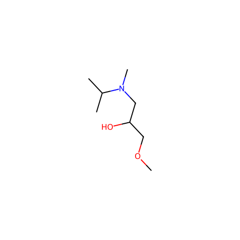 COCC(O)CN(C)C(C)C